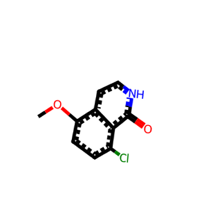 COc1ccc(Cl)c2c(=O)[nH]ccc12